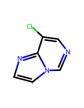 Clc1cncn2[c]cnc12